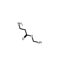 CCCCOC(=O)CCN